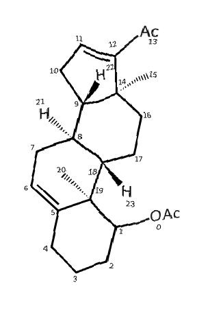 CC(=O)OC1CCCC2=CC[C@H]3[C@@H]4CC=C(C(C)=O)[C@@]4(C)CC[C@@H]3[C@]21C